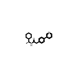 C[C@H](NC(=O)Cc1ccc(-c2cccnc2)cc1)C1CCCCC1